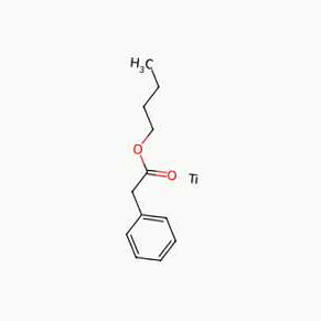 CCCCOC(=O)Cc1ccccc1.[Ti]